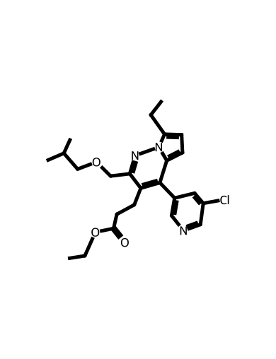 CCOC(=O)CCc1c(COCC(C)C)nn2c(CC)ccc2c1-c1cncc(Cl)c1